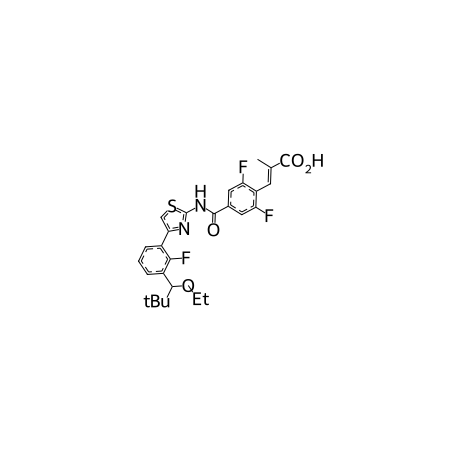 CCOC(c1cccc(-c2csc(NC(=O)c3cc(F)c(C=C(C)C(=O)O)c(F)c3)n2)c1F)C(C)(C)C